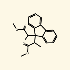 COC(=O)C(C)C1(C(C)C(=O)OC)c2ccccc2-c2ccccc21